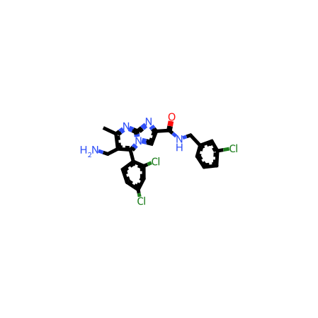 Cc1nc2nc(C(=O)NCc3cccc(Cl)c3)cn2c(-c2ccc(Cl)cc2Cl)c1CN